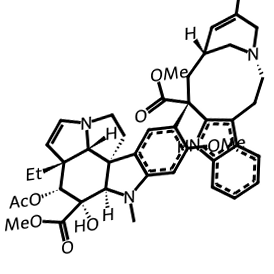 CCC1=C[C@@H]2C[N@@](CCc3c([nH]c4ccccc34)[C@@](C(=O)OC)(c3cc4c(cc3OC)N(C)[C@H]3[C@@](O)(C(=O)OC)[C@H](OC(C)=O)[C@]5(CC)C=CN6CC[C@]43[C@@H]65)C2)C1